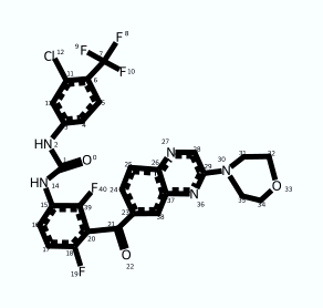 O=C(Nc1ccc(C(F)(F)F)c(Cl)c1)Nc1ccc(F)c(C(=O)c2ccc3ncc(N4CCOCC4)nc3c2)c1F